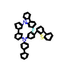 Fc1ccc2c3ccccc3n(-c3cccc(-c4cccc(N(c5ccc(-c6ccccc6)cc5)c5ccc(-c6cccc7c6sc6ccccc67)cc5)c4)c3)c2c1